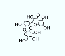 O=c1c(O)c(-c2ccc(O)c(O[C@@H]3OC(CO)[C@@H](O)C(O)C3O)c2)oc2cc(O)cc(O)c12